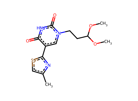 COC(CCn1cc(-c2nc(C)cs2)c(=O)[nH]c1=O)OC